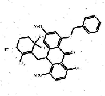 COc1cc(OCc2ccccc2)c2c(c1)[C@H](CC1=C(C)[C@H](C(C)C)CCC1(C)C)c1c(OC)ccc(O)c1C2=O